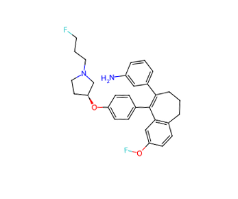 Nc1cccc(C2=C(c3ccc(O[C@H]4CCN(CCCF)C4)cc3)c3cc(OF)ccc3CCC2)c1